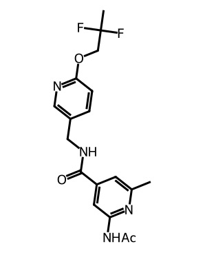 CC(=O)Nc1cc(C(=O)NCc2ccc(OCC(C)(F)F)nc2)cc(C)n1